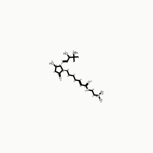 CCCCC(C)(C)C(O)C=C[C@H]1C(O)CC(=O)[C@@H]1CCCCC=CC(=O)OCCN(CC)CC